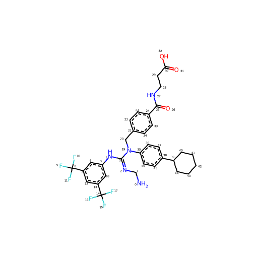 NC/N=C(/Nc1cc(C(F)(F)F)cc(C(F)(F)F)c1)N(Cc1ccc(C(=O)NCCC(=O)O)cc1)c1ccc(C2CCCCC2)cc1